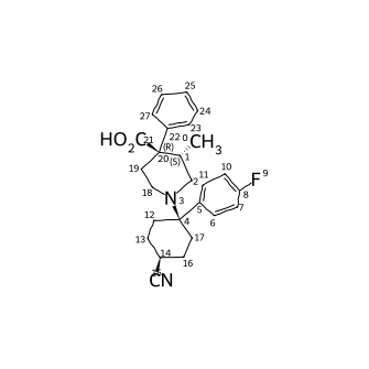 C[C@@H]1CN([C@]2(c3ccc(F)cc3)CC[C@H](C#N)CC2)CC[C@]1(C(=O)O)c1ccccc1